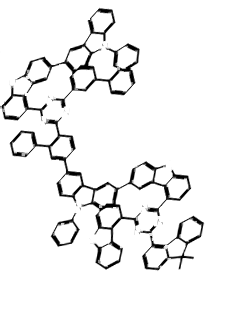 CC1(C)c2ccccc2-c2c(-c3nc(-c4cccc5oc6ccc(-c7ccc8c(c7)c7cc(-c9ccc(-c%10nc(-c%11cccc(-c%12ccccc%12)c%11)nc(-c%11cccc%12oc%13ccc(-c%14ccc%15c(c%14)c%14ccccc%14n%15-c%14ccccc%14)cc%13c%11%12)n%10)c(-c%10ccccc%10)c9)ccc7n8-c7ccccc7)cc6c45)nc(-c4cccc5sc6ccccc6c45)n3)cccc21